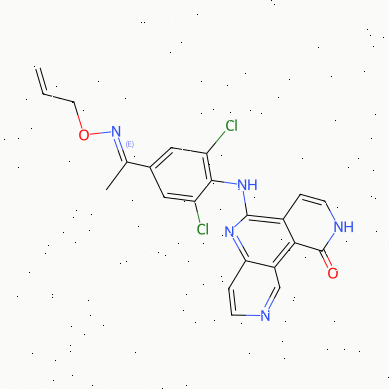 C=CCO/N=C(\C)c1cc(Cl)c(Nc2nc3ccncc3c3c(=O)[nH]ccc23)c(Cl)c1